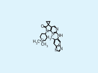 Cc1cc2ncnn2cc1Nc1ncc2c(n1)N(C1CC[Si](C)(C)CC1)C(=O)C21CC1